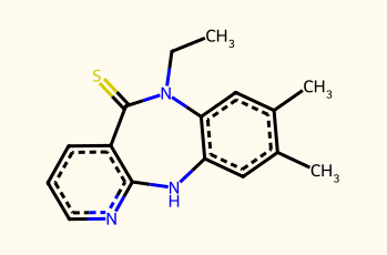 CCN1C(=S)c2cccnc2Nc2cc(C)c(C)cc21